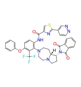 O=C(Nc1ccc(Oc2ccccc2)c(C(F)(F)F)c1N1CC[C@@H]2[C@H](N3C(=O)c4ccccc4C3=O)CCN2CC1)c1csc(-c2ccnnc2)n1